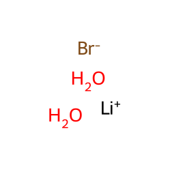 O.O.[Br-].[Li+]